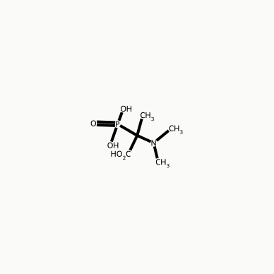 CN(C)C(C)(C(=O)O)P(=O)(O)O